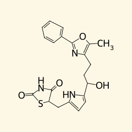 Cc1oc(-c2ccccc2)nc1CCC(O)c1ccc(CC2SC(=O)NC2=O)[nH]1